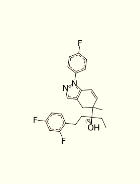 CC[C@](O)(CCc1ccc(F)cc1F)C1(C)C=Cc2c(cnn2-c2ccc(F)cc2)C1